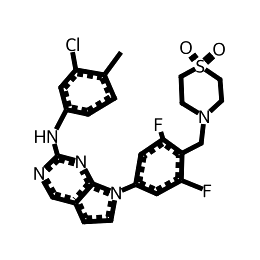 Cc1ccc(Nc2ncc3ccn(-c4cc(F)c(CN5CCS(=O)(=O)CC5)c(F)c4)c3n2)cc1Cl